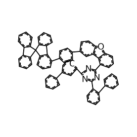 c1ccc(-c2cccc(-c3nc(-c4ccccc4-c4ccccc4)nc(-c4cccc5oc6ccc(-c7ccc(-c8cccc9c8-c8ccccc8C98c9ccccc9-c9ccccc98)cc7)cc6c45)n3)c2)cc1